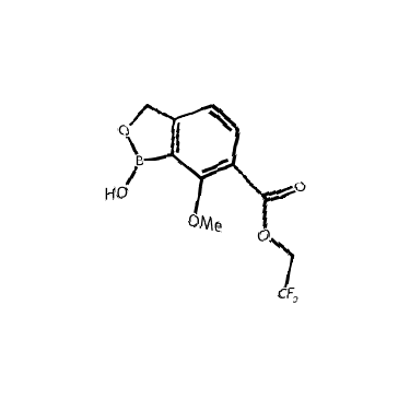 COc1c(C(=O)OCC(F)(F)F)ccc2c1B(O)OC2